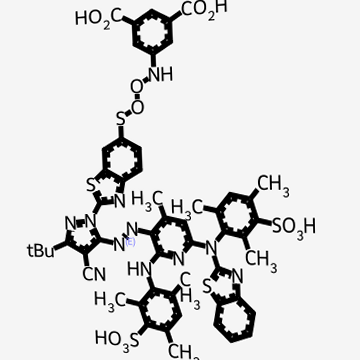 Cc1cc(N(c2nc3ccccc3s2)c2c(C)cc(C)c(S(=O)(=O)O)c2C)nc(Nc2c(C)cc(C)c(S(=O)(=O)O)c2C)c1/N=N/c1c(C#N)c(C(C)(C)C)nn1-c1nc2ccc(SOONc3cc(C(=O)O)cc(C(=O)O)c3)cc2s1